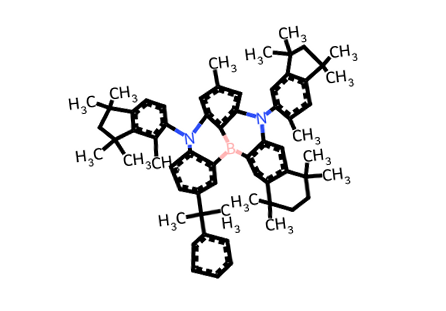 Cc1cc2c3c(c1)N(c1ccc4c(c1C)C(C)(C)CC4(C)C)c1ccc(C(C)(C)c4ccccc4)cc1B3c1cc3c(cc1N2c1cc2c(cc1C)C(C)(C)CC2(C)C)C(C)(C)CCC3(C)C